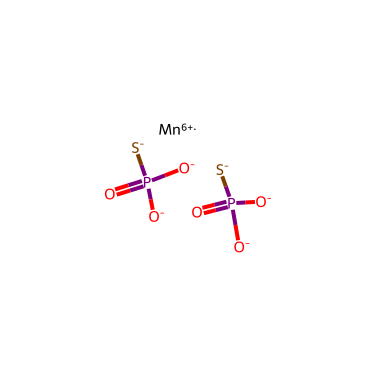 O=P([O-])([O-])[S-].O=P([O-])([O-])[S-].[Mn+6]